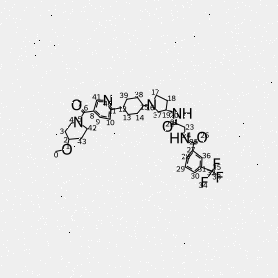 COC1CCN(C(=O)c2ccc(C3CCC(N4CC[C@@H](NC(=O)CNC(=O)c5cccc(C(F)(F)F)c5)C4)CC3)nc2)CC1